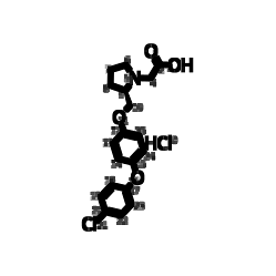 Cl.O=C(O)CN1CCC[C@@H]1COc1ccc(Oc2ccc(Cl)cc2)cc1